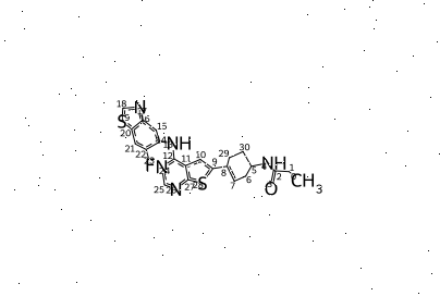 CCC(=O)NC1CC=C(c2cc3c(Nc4cc5ncsc5cc4F)ncnc3s2)CC1